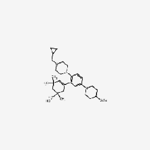 COC1CCN(c2ccc(N3CCN(CC4CC4)CC3)c(C3=CC(C)(C)CC(C)(C)C3)c2)CC1.Cl